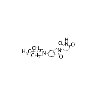 CC(C)(C)C1CCN(c2ccc3c(c2)CN(C2CCC(=O)NC2=O)C3=O)CC1